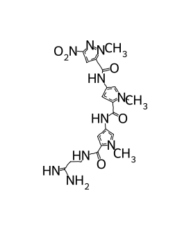 Cn1cc(NC(=O)c2cc(NC(=O)c3cc([N+](=O)[O-])nn3C)cn2C)cc1C(=O)NCCC(=N)N